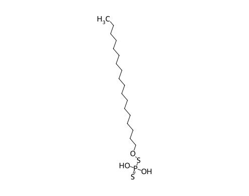 CCCCCCCCCCCCCCCCCCOSP(O)(O)=S